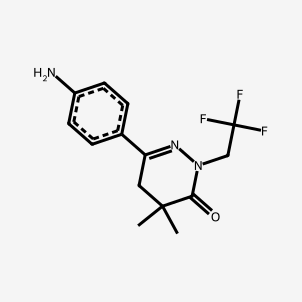 CC1(C)CC(c2ccc(N)cc2)=NN(CC(F)(F)F)C1=O